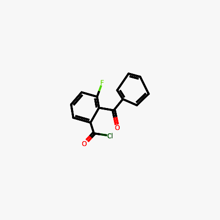 O=C(Cl)c1cccc(F)c1C(=O)c1ccccc1